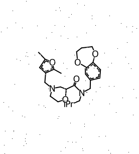 Cc1cc(CN2CCOC(C(=O)N(Cc3ccc4c(c3)OCCCO4)CC(C)C)C2)c(C)o1